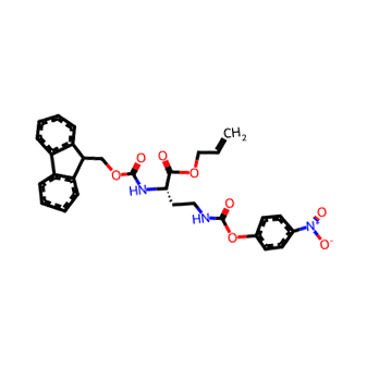 C=CCOC(=O)[C@H](CCNC(=O)Oc1ccc([N+](=O)[O-])cc1)NC(=O)OCC1c2ccccc2-c2ccccc21